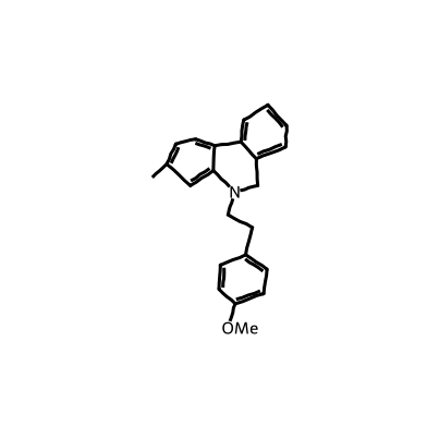 COc1ccc(CCN2Cc3ccccc3-c3ccc(C)cc32)cc1